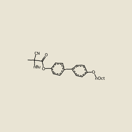 CCCCCCCCOc1ccc(-c2ccc(OC(=O)C(C)(C#N)CCCC)cc2)cc1